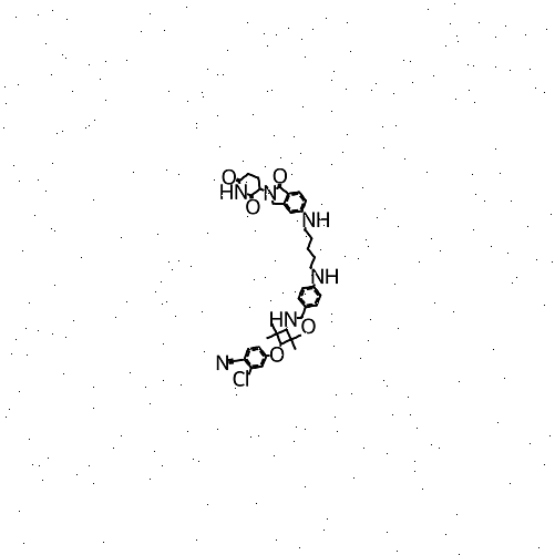 CC1(C)[C@H](NC(=O)c2ccc(NCCCCCNc3ccc4c(c3)CN(C3CCC(=O)NC3=O)C4=O)cc2)C(C)(C)[C@H]1Oc1ccc(C#N)c(Cl)c1